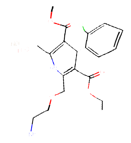 Br.CCOC(=O)C1=C(COCCN)NC(C)=C(C(=O)OC)[C@@H]1c1ccccc1Cl.O